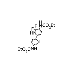 CCOC(=O)NC1=CC=C(c2ccc(NC(=O)OCC)cn2)NC1(F)F